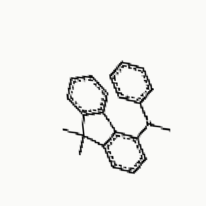 CN(c1ccccc1)c1cccc2c1-c1ccccc1C2(C)C